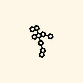 c1ccc(-c2ccc3c(-c4cccc5ccccc45)c4ccccc4c(-c4ccc(-c5ccc6ccccc6c5)cc4)c3c2)cc1